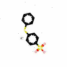 O=S(=O)([O-])c1ccc(Sc2ccccc2)cc1.[K+]